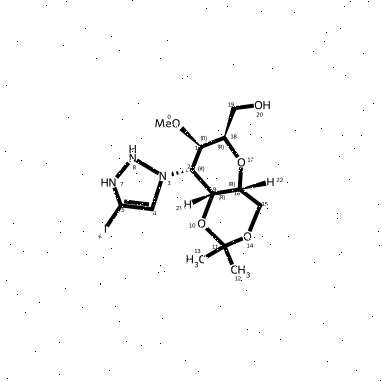 CO[C@@H]1[C@@H](N2C=C(I)NN2)[C@H]2OC(C)(C)OC[C@H]2O[C@@H]1CO